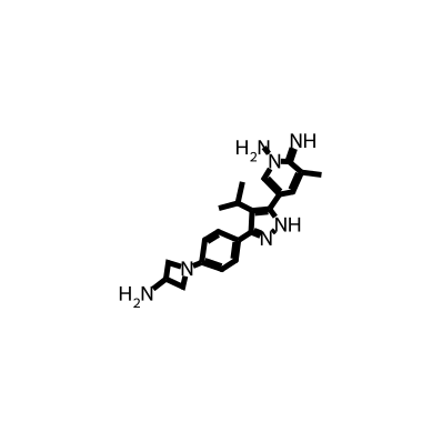 Cc1cc(-c2[nH]nc(-c3ccc(N4CC(N)C4)cc3)c2C(C)C)cn(N)c1=N